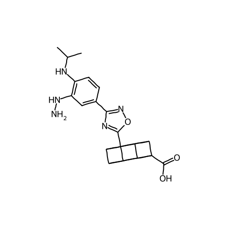 CC(C)Nc1ccc(-c2noc(C34C5C6C3C3C4C5C63C(=O)O)n2)cc1NN